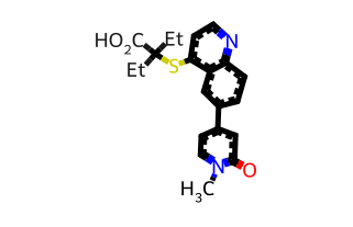 CCC(CC)(Sc1ccnc2ccc(-c3ccn(C)c(=O)c3)cc12)C(=O)O